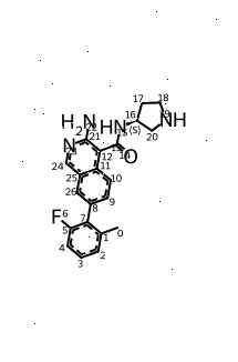 Cc1cccc(F)c1-c1ccc2c(C(=O)N[C@H]3CCNC3)c(N)ncc2c1